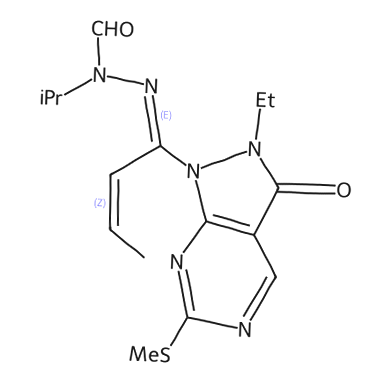 C/C=C\C(=N/N(C=O)C(C)C)n1c2nc(SC)ncc2c(=O)n1CC